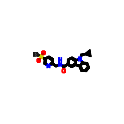 CCS(=O)(=O)c1ccc(CNC(=O)c2ccc3c(c2)c2ccccc2n3CC2CC2)nc1